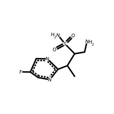 CC(c1ncc(F)cn1)C(CN)S(N)(=O)=O